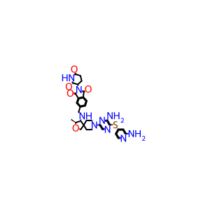 C[C@@H]1OCC2(CCN(c3cnc(Sc4ccnc(N)c4)c(N)n3)CC2)[C@@H]1NCc1ccc2c(c1)C(=O)N(C1CCC(=O)NC1=O)C2=O